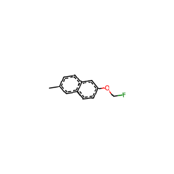 Cc1ccc2cc(OCF)ccc2c1